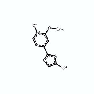 COc1cc(-c2nc(O)cs2)cc[n+]1[O-]